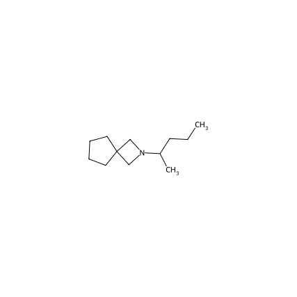 CCCC(C)N1CC2(CCCC2)C1